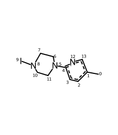 Cc1ccc(N2CCN(I)CC2)nc1